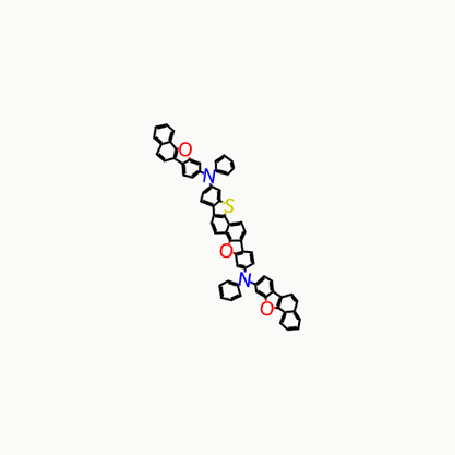 c1ccc(N(c2ccc3c(c2)oc2c4ccccc4ccc32)c2ccc3c(c2)oc2c3ccc3c2ccc2c4ccc(N(c5ccccc5)c5ccc6c(c5)oc5c7ccccc7ccc65)cc4sc23)cc1